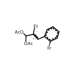 CC/C(=C\c1ccccc1Br)C(OC(C)=O)OC(C)=O